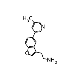 Cc1cncc(-c2ccc3occ(CCN)c3c2)c1